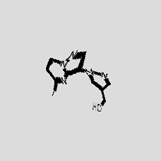 OCc1cnn(-c2cnn3ccc(I)nc23)c1